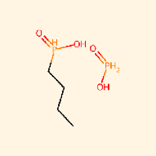 CCCC[PH](=O)O.O=[PH2]O